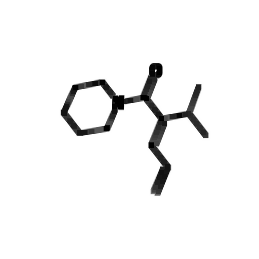 C=CC=C(C(=O)N1CCCCC1)C(C)C